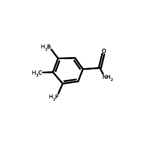 Bc1cc(C(N)=O)cc(P)c1C